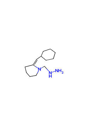 NNCN1CCCC/C1=C/C1CCCCC1